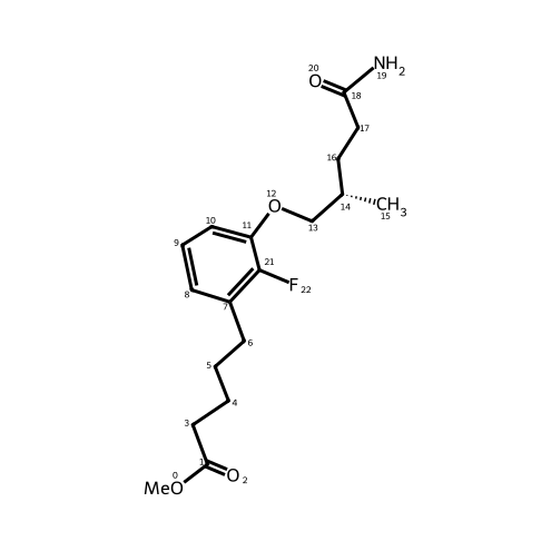 COC(=O)CCCCc1cccc(OC[C@@H](C)CCC(N)=O)c1F